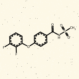 CS(=O)(=O)NC(=O)c1ccc(Oc2cccc(F)c2F)cc1